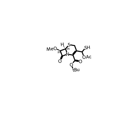 CO[C@@H]1C(=O)N2C(C(=O)OC(C)(C)C)=C(C(S)OC(C)=O)CS[C@H]12